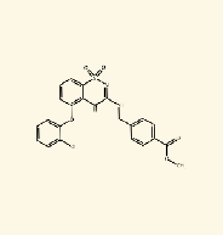 COC(=O)c1ccc(CNC2=NS(=O)(=O)c3cccc(Oc4ccccc4Cl)c3N2)cc1